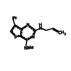 C=CCNc1nc(NC)c2scc(C(C)C)c2n1